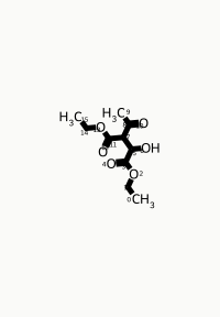 CCOC(=O)C(O)C(C(C)=O)C(=O)OCC